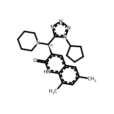 Cc1cc(C)c2[nH]c(=O)c([C@H](c3nnnn3C3CCCC3)N3CCCCC3)cc2c1